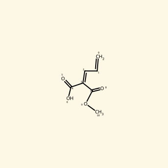 C=CC=C(C(=O)O)C(=O)OC